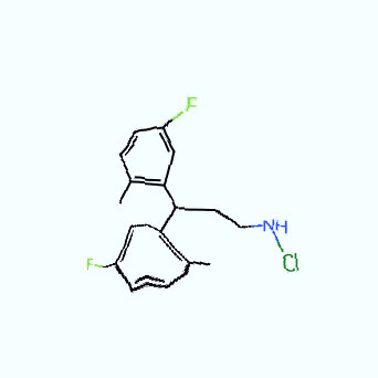 Cc1ccc(F)cc1C(CCNCl)c1cc(F)ccc1C